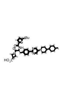 CC1CCC(C2CCN(c3cnc(-c4ccc(C[C@H](NC(=O)c5ccc(C(C)(C)C)s5)C(=O)N5CC(C(=O)O)C5)cc4)nc3)CC2)CC1